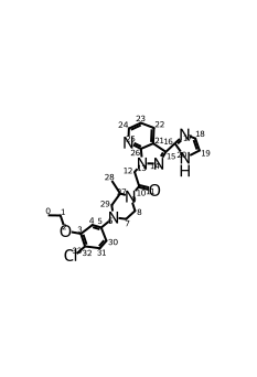 CCOc1cc(N2CCN(C(=O)Cn3nc(-c4ncc[nH]4)c4cccnc43)C(C)C2)ccc1Cl